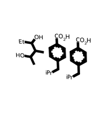 CC(C)Cc1ccc(C(=O)O)cc1.CC(C)Cc1ccc(C(=O)O)cc1.CCC(O)C(C)C(C)O